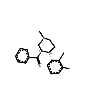 Cc1cccc([C@H]2[CH]CN(C)C[C@@H]2C(=O)c2ccccc2)c1C